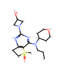 CCCN(c1nc(N2CC(O)C2)nc2c1[SH](C)(=O)CC2)C1CCOCC1